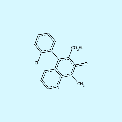 CCOC(=O)c1c(-c2ccccc2Cl)c2cccnc2n(C)c1=O